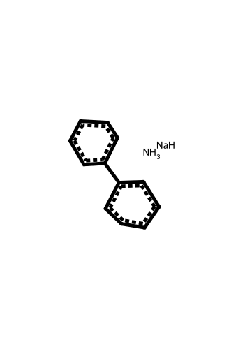 N.[NaH].c1ccc(-c2ccccc2)cc1